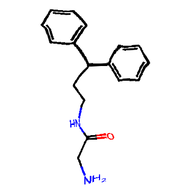 NCC(=O)NCCC(c1ccccc1)c1ccccc1